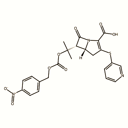 CC(C)(OC(=O)OCc1ccc([N+](=O)[O-])cc1)[C@@H]1C(=O)N2C(C(=O)O)=C(Sc3cccnc3)C[C@H]12